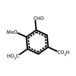 COc1c([C]=O)cc(C(=O)O)cc1C(=O)O